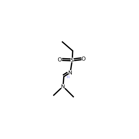 CCS(=O)(=O)/N=C/N(C)C